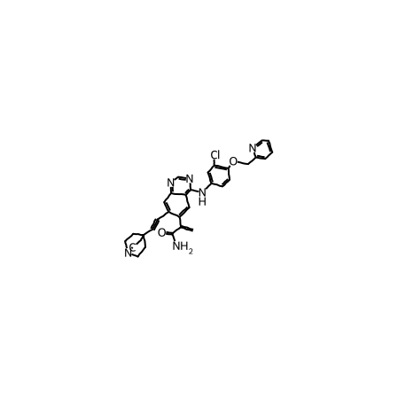 C=C(C(N)=O)c1cc2c(Nc3ccc(OCc4ccccn4)c(Cl)c3)ncnc2cc1C#CC12CCN(CC1)CC2